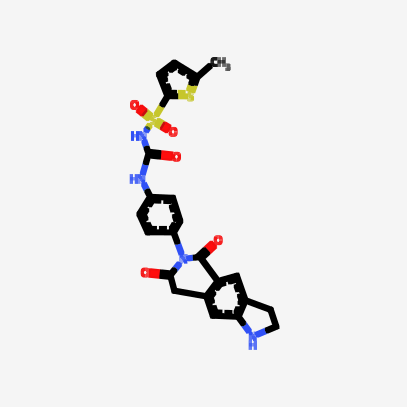 Cc1ccc(S(=O)(=O)NC(=O)Nc2ccc(N3C(=O)Cc4cc5c(cc4C3=O)CCN5)cc2)s1